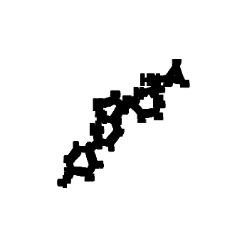 Fc1ccc(-c2ccc3c(-c4ccnc(NC5CC5)n4)cnn3n2)cc1